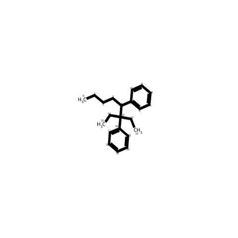 CCCCC(c1ccccc1)C(CC)(CC)c1ccccc1